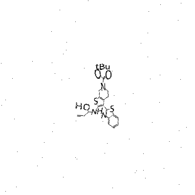 C=CC(O)Nc1sc2c(c1-c1nc3ccccc3s1)CCN(C(=O)OC(C)(C)C)C2